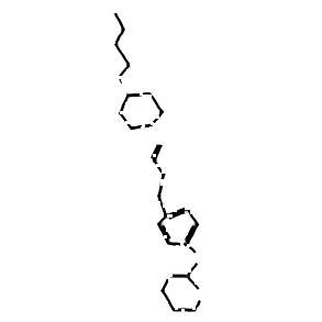 CCCCC[C@H]1CC[C@H](C=CCCc2ccc(OC3CCCCO3)cc2)CC1